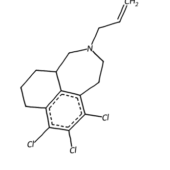 C=CCN1CCc2c(Cl)c(Cl)c(Cl)c3c2C(CCC3)C1